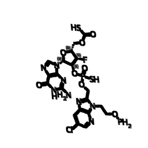 Nc1nc2c(ncn2[C@@H]2O[C@H](COC(=O)S)[C@@H](F)[C@H]2OP(=O)(S)OCc2nc3cc(Cl)cnc3n2CCOP)c(=O)[nH]1